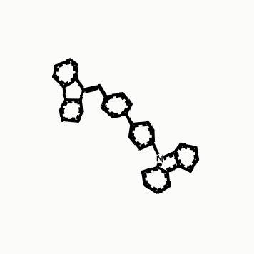 C(=C1c2ccccc2-c2ccccc21)c1ccc(-c2ccc(-n3c4ccccc4c4ccccc43)cc2)cc1